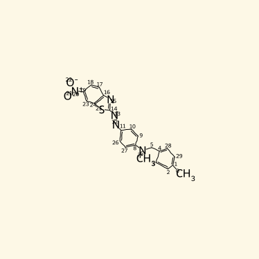 Cc1ccc(CN(C)c2ccc(N=Nc3nc4ccc([N+](=O)[O-])cc4s3)cc2)cc1